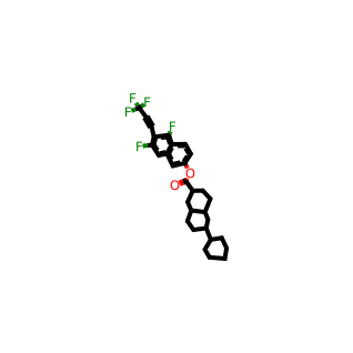 O=C(Oc1ccc2c(F)c(C#CC(F)(F)F)c(F)cc2c1)C1CCC2CC(C3CCCCC3)CCC2C1